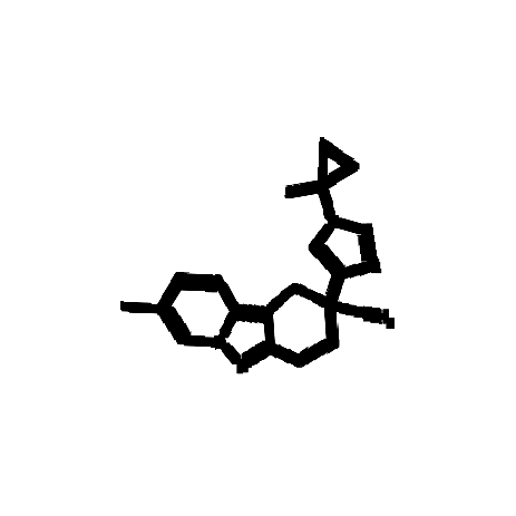 Cc1ccc2c3c(nn2c1)CCC(N)(c1cn(C2(C)CC2)nn1)C3